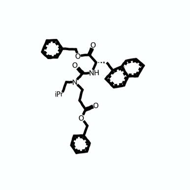 CC(C)CN(CCC(=O)OCc1ccccc1)C(=O)N[C@@H](Cc1cccc2ccccc12)C(=O)OCc1ccccc1